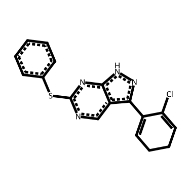 ClC1=CCCC=C1c1n[nH]c2nc(Sc3ccccc3)ncc12